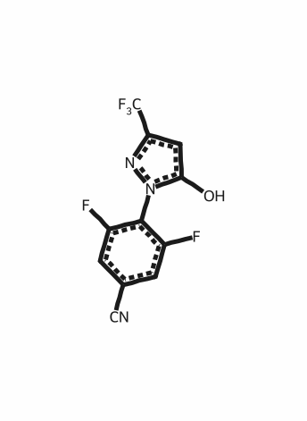 N#Cc1cc(F)c(-n2nc(C(F)(F)F)cc2O)c(F)c1